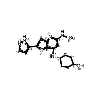 CC(C)(C)Nc1cc(N[C@H]2CC[C@H](O)CC2)c2sc(-c3ccn[nH]3)cc2n1